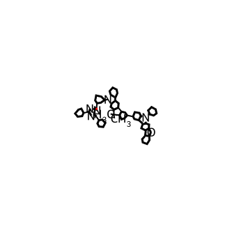 CC1(C)c2ccc(-c3ccc4c(c3)c3cc5c(cc3n4-c3ccccc3)oc3ccccc35)cc2-c2cc3c4ccccc4n(-c4cccc(-c5nc(-c6ccccc6)nc(-c6ccccc6)n5)c4)c3cc21